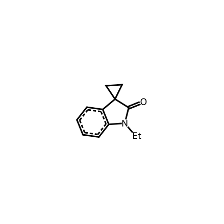 CCN1C(=O)C2(CC2)c2ccccc21